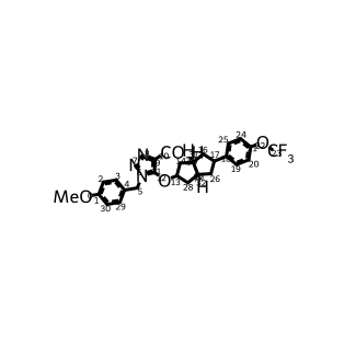 COc1ccc(Cn2nnc(C(=O)O)c2OC2C[C@@H]3CC(c4ccc(OC(F)(F)F)cc4)C[C@@H]3C2)cc1